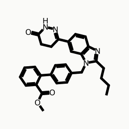 CCCCc1nc2ccc(C3=NNC(=O)CC3)cc2n1Cc1ccc(-c2ccccc2C(=O)OC)cc1